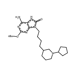 CCCCOc1nc(N)c2[nH]c(=O)n(CCCCC3CCCN(C4CCCC4)C3)c2n1